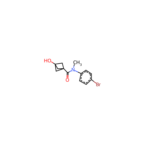 CN(C(=O)C12CC(O)(C1)C2)c1ccc(Br)cc1